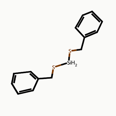 c1ccc(CS[SiH2]SCc2ccccc2)cc1